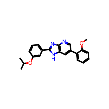 COc1ccccc1-c1cnc2nc(-c3cccc(OC(C)C)c3)[nH]c2c1